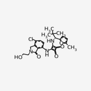 Cc1ccc([C@H](Nc2c(Nc3ccc(Cl)c4c3C(=O)N(CCO)C4)c(=O)c2=O)C(C)(C)C)o1